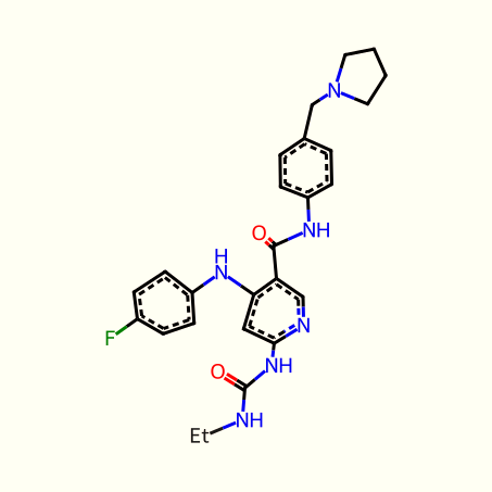 CCNC(=O)Nc1cc(Nc2ccc(F)cc2)c(C(=O)Nc2ccc(CN3CCCC3)cc2)cn1